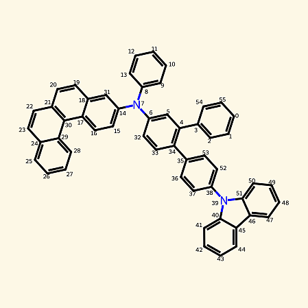 c1ccc(-c2cc(N(c3ccccc3)c3ccc4c(ccc5ccc6ccccc6c54)c3)ccc2-c2ccc(-n3c4ccccc4c4ccccc43)cc2)cc1